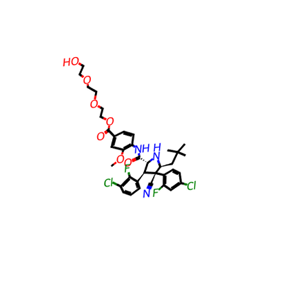 COc1cc(C(=O)OCCOCCOCCO)ccc1NC(=O)[C@@H]1N[C@@H](CC(C)(C)C)[C@](C#N)(c2ccc(Cl)cc2F)[C@H]1c1cccc(Cl)c1F